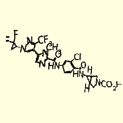 Cn1c(-c2cn([C@@H]3CC3(F)F)nc2C(F)(F)F)cnc1C(=O)Nc1ccc(C(=O)NC2[C@H]3CN(C(=O)O)C[C@@H]23)c(Cl)c1